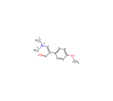 COc1ccc(C(C=O)=CN(C)C)cc1